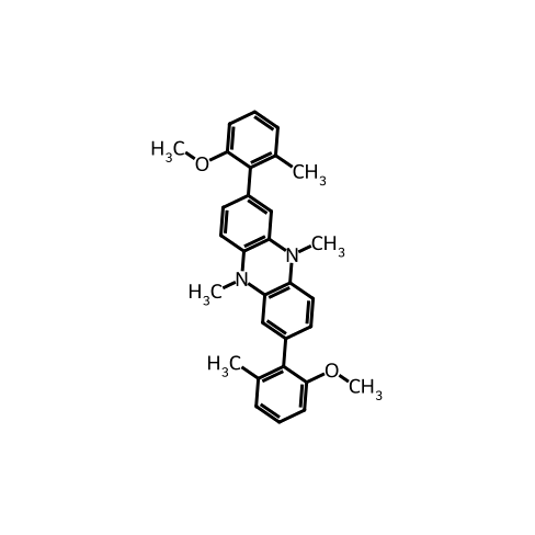 COc1cccc(C)c1-c1ccc2c(c1)N(C)c1ccc(-c3c(C)cccc3OC)cc1N2C